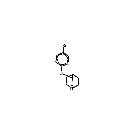 Brc1cnc(OC2CN3CCC2CC3)nc1